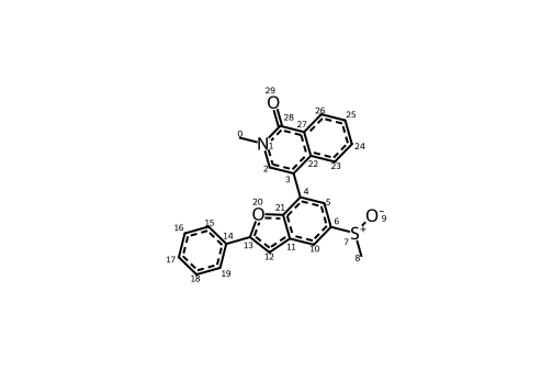 Cn1cc(-c2cc([S+](C)[O-])cc3cc(-c4ccccc4)oc23)c2ccccc2c1=O